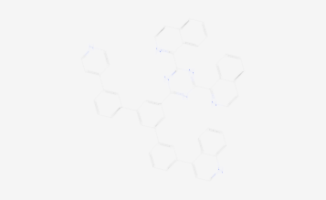 c1cc(-c2ccncc2)cc(-c2cc(-c3cccc(-c4ccnc5ccccc45)c3)cc(-c3nc(-c4nccc5ccccc45)nc(-c4nccc5ccccc45)n3)c2)c1